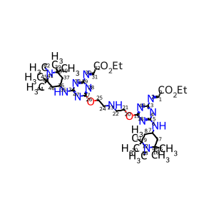 CCOC(=O)C=Nc1nc(NC2CC(C)(C)N(C)C(C)(C)C2)nc(OCCNCCOc2nc(N=CC(=O)OCC)nc(NC3CC(C)(C)N(C)C(C)(C)C3)n2)n1